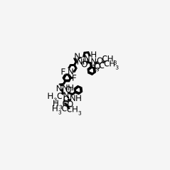 C[C@H](NC(=O)[C@H](NC(=O)OC(C)(C)C)c1ccccc1)c1ncc(-c2cc(F)c(N3CCC(c4cnc([C@@H]5CCCN5C(=O)[C@H](NC(=O)OC(C)(C)C)c5ccccc5)[nH]4)CC3)c(F)c2)[nH]1